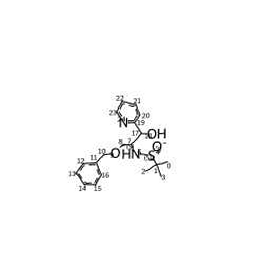 CC(C)(C)[S@@+]([O-])N[C@@H](COCc1ccccc1)C(O)c1ccccn1